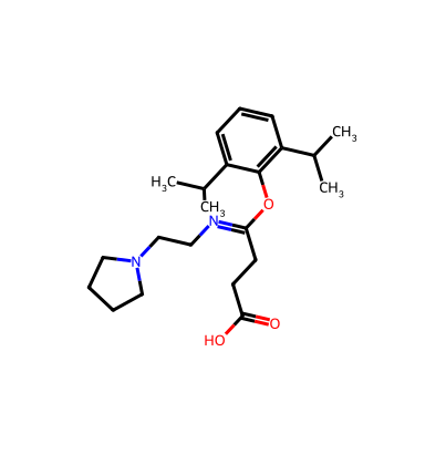 CC(C)c1cccc(C(C)C)c1OC(CCC(=O)O)=NCCN1CCCC1